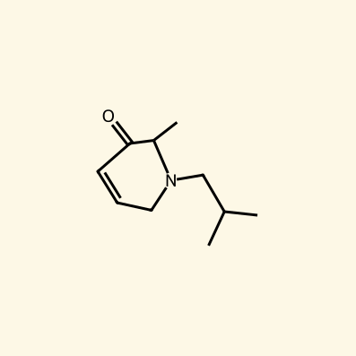 CC(C)CN1CC=CC(=O)C1C